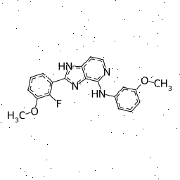 COc1cccc(Nc2nccc3[nH]c(-c4cccc(OC)c4F)nc23)c1